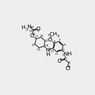 COc1ccc(NC(=O)CCl)cc1NC1CCC(OC(N)=O)CC1